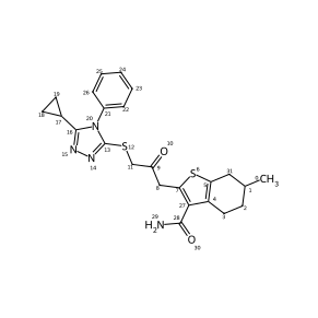 CC1CCc2c(sc(CC(=O)CSc3nnc(C4CC4)n3-c3ccccc3)c2C(N)=O)C1